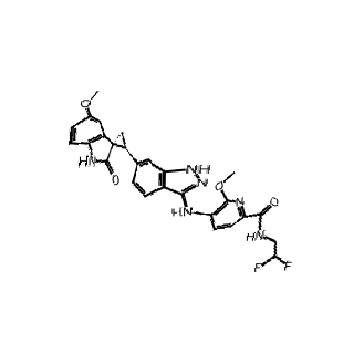 COc1ccc2c(c1)[C@]1(C[C@H]1c1ccc3c(Nc4ccc(C(=O)NCC(F)F)nc4OC)n[nH]c3c1)C(=O)N2